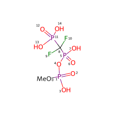 COP(=O)(O)OP(=O)(O)C(F)(F)P(=O)(O)O